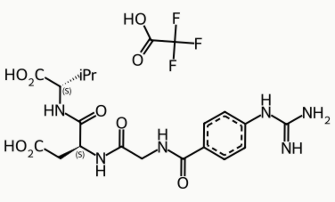 CC(C)[C@H](NC(=O)[C@H](CC(=O)O)NC(=O)CNC(=O)c1ccc(NC(=N)N)cc1)C(=O)O.O=C(O)C(F)(F)F